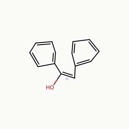 O/C(=C/c1ccccc1)c1ccccc1